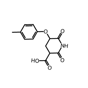 Cc1ccc(OC2CC(C(=O)O)C(=O)NC2=O)cc1